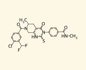 CNC(=O)c1ccc(-n2c(=S)[nH]c3c(c2=O)CC(C)N(C(=O)c2ccc(Cl)c(C(F)F)c2)C3)cc1